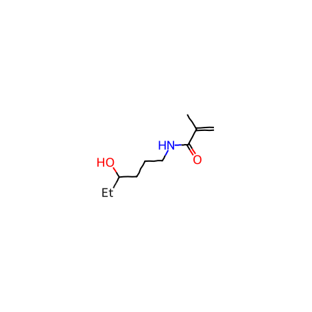 [CH2]CC(O)CCCNC(=O)C(=C)C